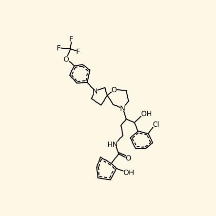 O=C(NCCC(C(O)c1ccccc1Cl)N1CCOC2(CCN(c3ccc(OC(F)(F)F)cc3)C2)C1)c1ccccc1O